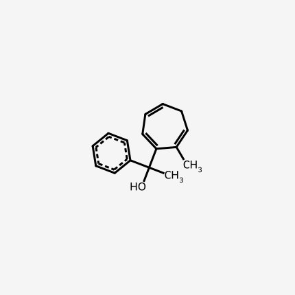 CC1=CCC=CC=C1C(C)(O)c1ccccc1